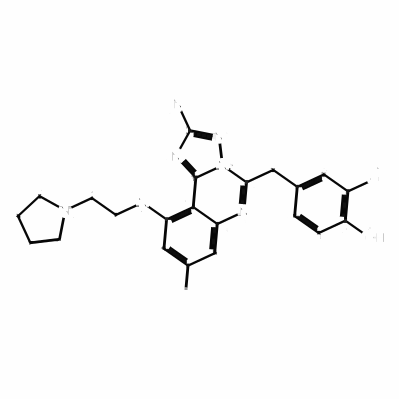 Nc1nc2c3c(NCCN4CCCC4)cc(F)cc3nc(Cc3ccc(O)c(O)c3)n2n1